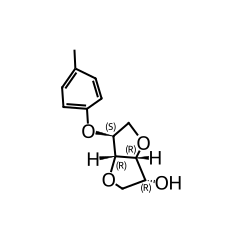 Cc1ccc(O[C@H]2CO[C@H]3[C@@H]2OC[C@H]3O)cc1